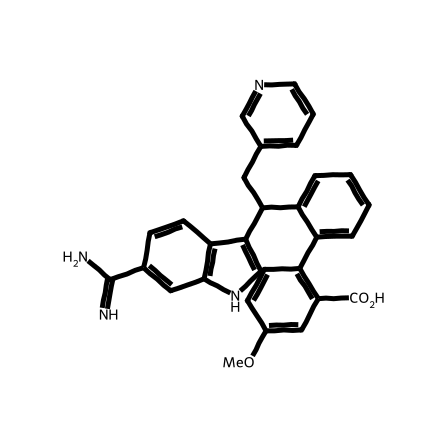 COc1ccc(-c2ccccc2C(Cc2cccnc2)c2c[nH]c3cc(C(=N)N)ccc23)c(C(=O)O)c1